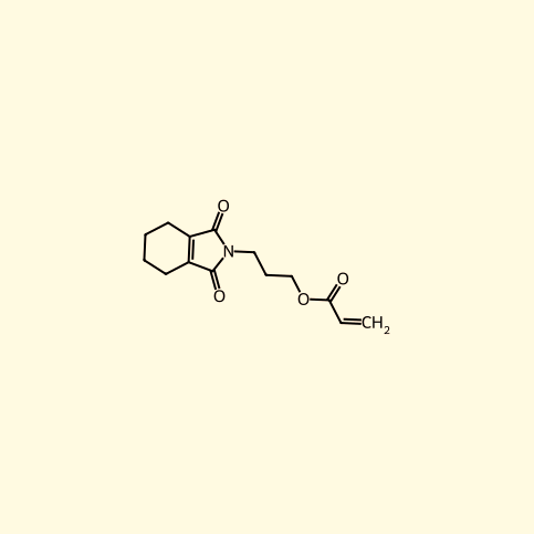 C=CC(=O)OCCCN1C(=O)C2=C(CCCC2)C1=O